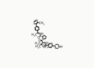 Cc1ncsc1-c1ccc([C@H](C)NC(=O)[C@@H]2CCCN2C(=O)C(NC(=O)c2ccc(N3CCNCC3)nc2)C(C)(C)C)cc1